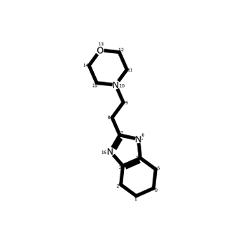 C1CCC2=C(C1)[N]C(CCN1CCOCC1)=N2